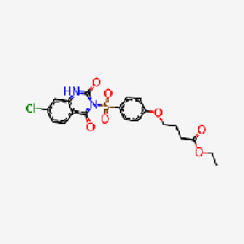 CCOC(=O)CCCOc1ccc(S(=O)(=O)n2c(=O)[nH]c3cc(Cl)ccc3c2=O)cc1